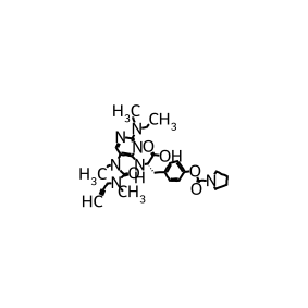 C#CCN(C)C(=O)N(CC)c1cnc(N(CC)CC)nc1N[C@@H](Cc1ccc(OC(=O)N2CCCC2)cc1)C(=O)O